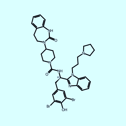 O=C(N[C@H](Cc1cc(Br)c(O)c(Br)c1)c1nc2ccccc2n1CCCN1CCCC1)N1CCC(N2CCc3ccccc3NC2=O)CC1